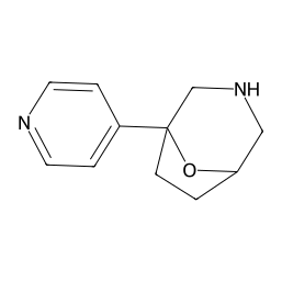 c1cc(C23CCC(CNC2)O3)ccn1